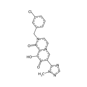 Cn1ncnc1-c1cn2ccn(Cc3cccc(Cl)c3)c(=O)c2c(O)c1=O